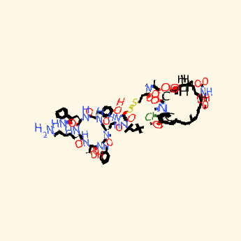 COc1cc2cc(c1Cl)N(C)C(=O)CC1(OC(=O)[C@H](C)N(C)C(=O)CCSSC[C@H](NC(=O)CC[C@H]3C(=O)N[C@@H](Cc4ccc(O)cc4)C(=O)N[C@H](Cc4c[nH]c5ccccc45)C(=O)N[C@@H](CCCCCN)C(=O)N[C@@H]([C@@H](C)O)C(=O)N[C@@H](Cc4ccccc4)C(=O)N3C)C(=O)NC(C)(C)CC(C)(C)C)O[C@@H]([C@H](C)[C@@H]3C[C@@](O)(NC(=O)O3)[C@H](OC)/C=C/C=C(\C)C2)[C@@H]1C